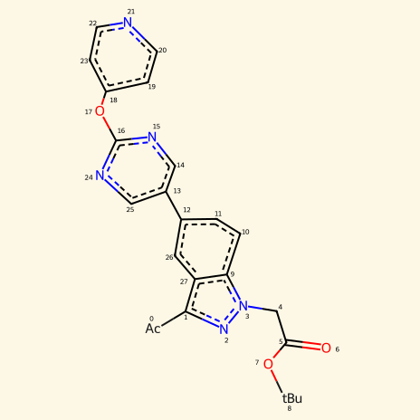 CC(=O)c1nn(CC(=O)OC(C)(C)C)c2ccc(-c3cnc(Oc4ccncc4)nc3)cc12